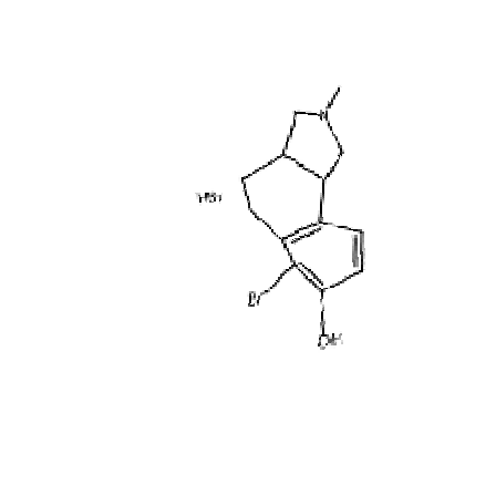 Br.CN1CC2CCc3c(ccc(O)c3Br)C2C1